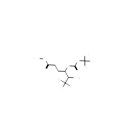 COC(=O)CCC(NC(=O)OC(C)(C)C)C(O)C(F)(F)F